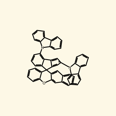 c1ccc2c(c1)Oc1cc3ccccc3cc1C21c2cc(-n3c4ccccc4c4ccccc43)ccc2-c2c(-n3c4ccccc4c4ccccc43)cccc21